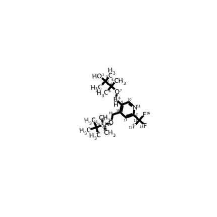 CC(C)(O)C(C)(C)OBc1cnc(C(F)(F)F)cc1CO[Si](C)(C)C(C)(C)C